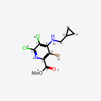 COC(=O)c1nc(Cl)c(Cl)c(NCC2CC2)c1Br